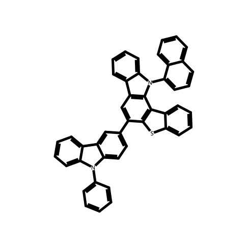 c1ccc(-n2c3ccccc3c3cc(-c4cc5c6ccccc6n(-c6cccc7ccccc67)c5c5c4sc4ccccc45)ccc32)cc1